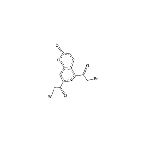 O=C(CBr)c1cc(C(=O)CBr)c2ccc(=O)oc2c1